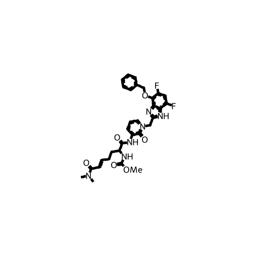 COC(=O)NC(CCC=CC(=O)N(C)C)C(=O)Nc1cccn(Cc2nc3c(OCc4ccccc4)c(F)cc(F)c3[nH]2)c1=O